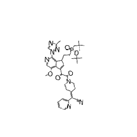 COc1cnc(-n2cnc(C)n2)c2c1C(C(=O)C(=O)N1CCC(=C(C#N)c3ccccn3)CC1)=CC2CCP(=O)(CC(C)(C)C)OC(C)(C)C